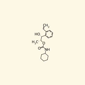 C=Cc1ccccc1[C@@H](O)[C@@H](C)OC(=O)NC1CCCCC1